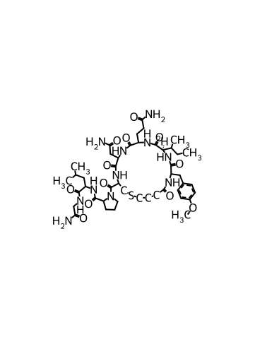 [2H][C@]1(C(C)CC)NC(=O)C(Cc2ccc(OC)cc2)NC(=O)CCCSCC(C(=O)N2CCCC2C(=O)NC(CC(C)C)C(=O)NCC(N)=O)NC(=O)C(CC(N)=O)NC(=O)C(CCC(N)=O)NC1=O